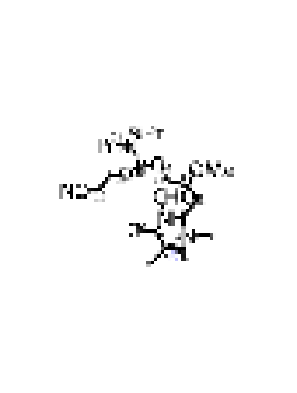 COC(CCN(C)/C=C(/C)C(=O)NC=O)COP(OCCC#N)N(C(C)C)C(C)C